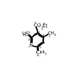 CCOC(=O)c1c(C)cc(C)nc1S